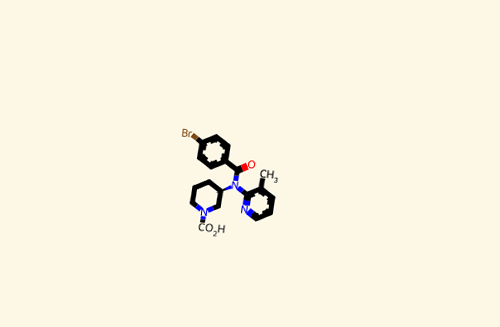 Cc1cccnc1N(C(=O)c1ccc(Br)cc1)[C@@H]1CCCN(C(=O)O)C1